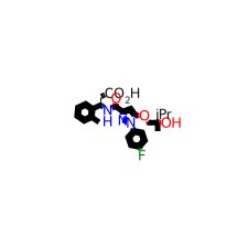 Cc1ccccc1[C@H](CC(=O)O)NC(=O)c1cc(OC[C@@](C)(O)C(C)C)n(-c2ccc(F)cc2)n1